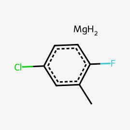 Cc1cc(Cl)ccc1F.[MgH2]